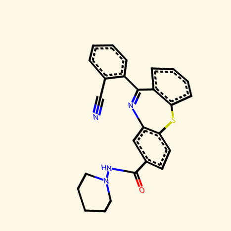 N#Cc1ccccc1C1=Nc2cc(C(=O)NN3CCCCC3)ccc2Sc2ccccc21